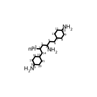 CCCC(CC(N)CCC1CCC(N)CC1)CC1CCC(N)CC1